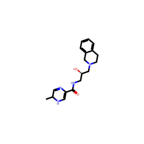 CC1C=NC(C(=O)NC[C@@H](O)CN2CCc3ccccc3C2)=CN1